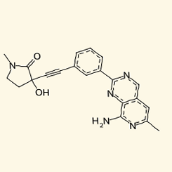 Cc1cc2cnc(-c3cccc(C#CC4(O)CCN(C)C4=O)c3)nc2c(N)n1